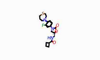 O=C(NC[C@H]1CN(c2ccc(N3CCCSCC3)c(F)c2)C(=O)O1)C1CCC1